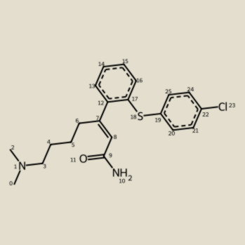 CN(C)CCCCC(=CC(N)=O)c1ccccc1Sc1ccc(Cl)cc1